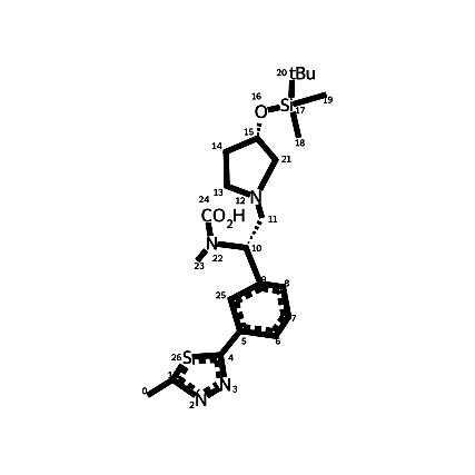 Cc1nnc(-c2cccc([C@@H](CN3CC[C@H](O[Si](C)(C)C(C)(C)C)C3)N(C)C(=O)O)c2)s1